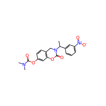 CC(c1cccc([N+](=O)[O-])c1)N1Cc2ccc(OC(=O)N(C)C)cc2OC1=O